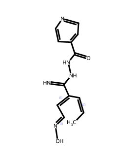 C\C=C/C(=C\C=N\O)C(=N)NNC(=O)c1ccncc1